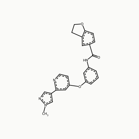 Cn1cc(-c2cc(Oc3cccc(NC(=O)c4ccc5c(c4)CCO5)c3)ccn2)cn1